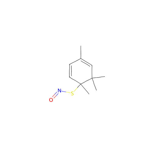 CC1=CC(C)(C)C(C)(SN=O)C=C1